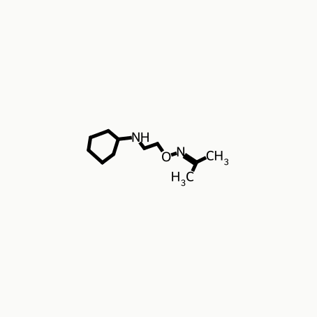 CC(C)=NOCCNC1CCCCC1